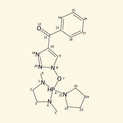 CN1CCN(C)[PH]1(On1cc(C(=O)c2ccccc2)nn1)N1CCCC1